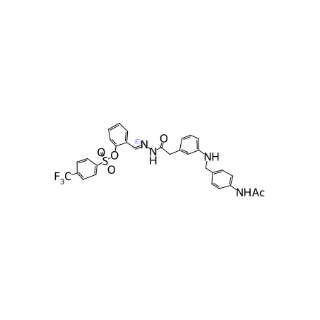 CC(=O)Nc1ccc(CNc2cccc(CC(=O)N/N=C/c3ccccc3OS(=O)(=O)c3ccc(C(F)(F)F)cc3)c2)cc1